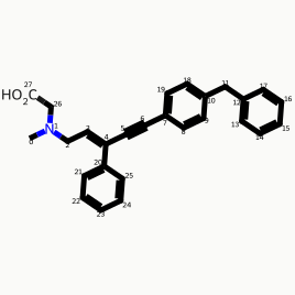 CN(CC=C(C#Cc1ccc(Cc2ccccc2)cc1)c1ccccc1)CC(=O)O